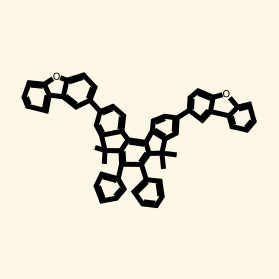 CC1(C)c2cc(-c3ccc4oc5ccccc5c4c3)ccc2-c2c3c(c(-c4ccccc4)c(-c4ccccc4)c21)C(C)(C)c1cc(-c2ccc4oc5ccccc5c4c2)ccc1-3